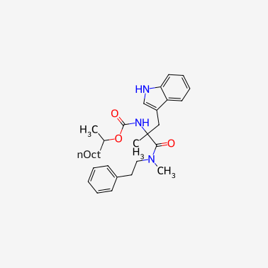 CCCCCCCCC(C)OC(=O)NC(C)(Cc1c[nH]c2ccccc12)C(=O)N(C)CCc1ccccc1